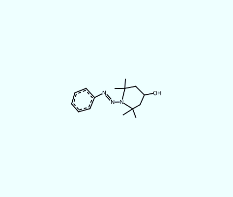 CC1(C)CC(O)CC(C)(C)N1N=Nc1ccccc1